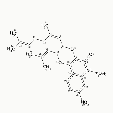 CCCCCCCCn1c(=O)c(OCC=C(C)CCC=C(C)C)c(OCC=C(C)C)c2ccc([N+](=O)[O-])cc21